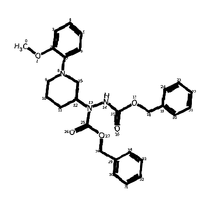 COc1ccccc1N1CCCC(N(NC(=O)OCc2ccccc2)C(=O)OCc2ccccc2)C1